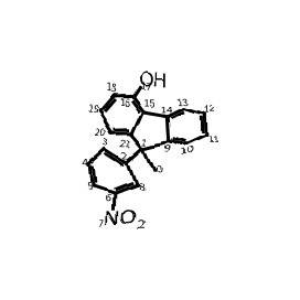 CC1(c2cccc([N+](=O)[O-])c2)c2ccccc2-c2c(O)cccc21